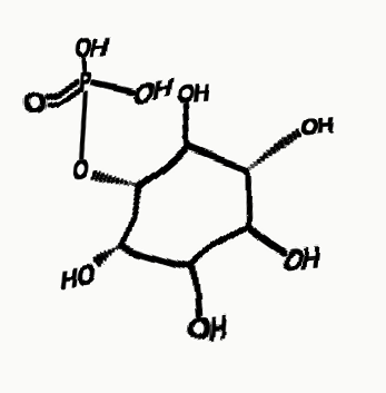 O=P(O)(O)O[C@@H]1C(O)[C@H](O)C(O)C(O)[C@@H]1O